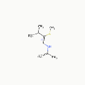 C=C(C)N/C=C(\SC)C(C)C